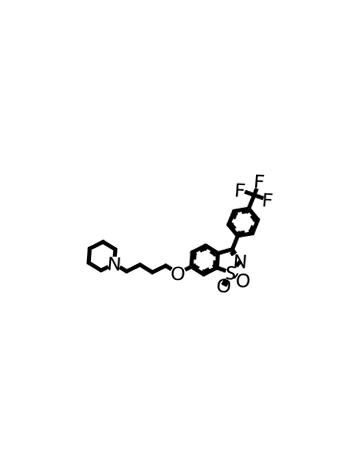 O=S1(=O)N=C(c2ccc(C(F)(F)F)cc2)c2ccc(OCCCCN3CCCCC3)cc21